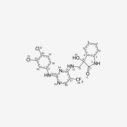 O=C1Nc2ccccc2C1(O)CNc1nc(Nc2ccc(Cl)c(Cl)c2)ncc1C(F)(F)F